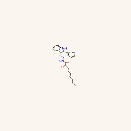 CCCCCCCC(=O)C(=O)NCCc1c(-c2ccccc2)[nH]c2ccccc12